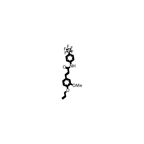 C=CCOc1ccc(C=CC(=O)Nc2ccc(S(F)(F)(F)(F)F)cc2)cc1OC